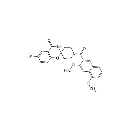 COc1cc2c(OC)cccc2cc1C(=O)N1CCC2(CC1)NC(=O)c1cc(Br)ccc1O2